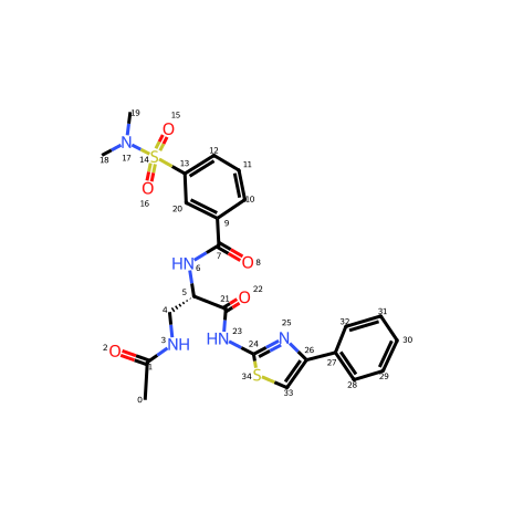 CC(=O)NC[C@H](NC(=O)c1cccc(S(=O)(=O)N(C)C)c1)C(=O)Nc1nc(-c2ccccc2)cs1